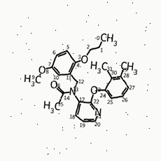 CCCOc1ccc(OC)cc1CN(C(C)=O)c1cccnc1Oc1cccc(C)c1C